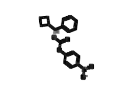 O=C(Oc1ccc([N+](=O)[O-])cc1)O[C@@H](c1ccccc1)C1CCC1